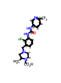 CC1CN(Cc2cccc(NC(=O)Nc3ccc(C(F)(F)F)nc3)c2F)CCN1C(=O)O